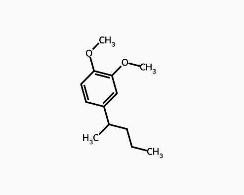 CCCC(C)c1ccc(OC)c(OC)c1